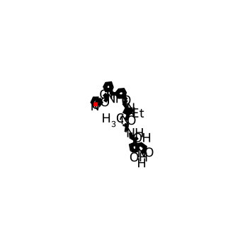 CCn1nc(COc2cccc([C@@H](NC(=O)OC3CN4CCC3CC4)c3ccccc3)c2)cc1C(=O)N(C)CCCNCC(O)c1ccc(O)c2[nH]c(=O)ccc12